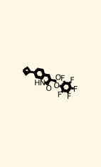 O=C(Oc1c(F)c(F)c(F)c(F)c1F)c1cc2ccc(C34CC(C3)C4)cc2[nH]c1=O